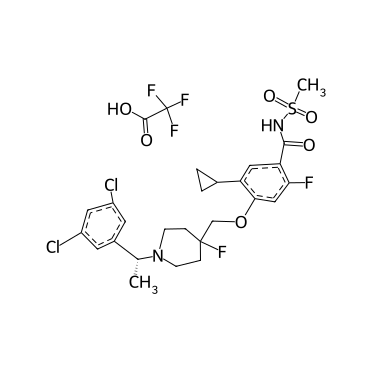 C[C@H](c1cc(Cl)cc(Cl)c1)N1CCC(F)(COc2cc(F)c(C(=O)NS(C)(=O)=O)cc2C2CC2)CC1.O=C(O)C(F)(F)F